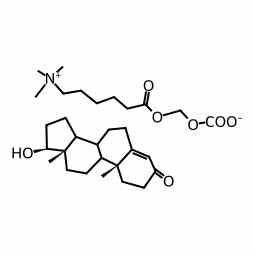 C[C@]12CCC(=O)C=C1CCC1C2CC[C@@]2(C)C1CC[C@@H]2O.C[N+](C)(C)CCCCCC(=O)OCOC(=O)[O-]